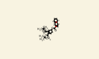 CC(C)(C)OC(=O)C1C2CC(OC(=O)C3CC4CC3C3C5C=CC(C5)C43)C(C2)C1C(=O)OC(C)(C)C